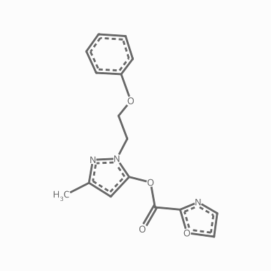 Cc1cc(OC(=O)c2ncco2)n(CCOc2ccccc2)n1